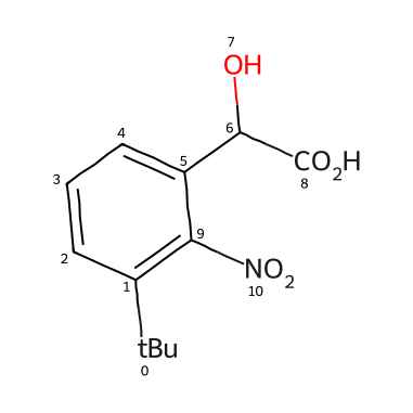 CC(C)(C)c1cccc(C(O)C(=O)O)c1[N+](=O)[O-]